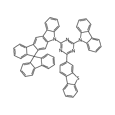 c1ccc2c(c1)-c1ccccc1C21c2ccccc2-c2cc3c4ccccc4n(-c4nc(-c5ccc6c(c5)sc5ccccc56)nc(-n5c6ccccc6c6ccccc65)n4)c3cc21